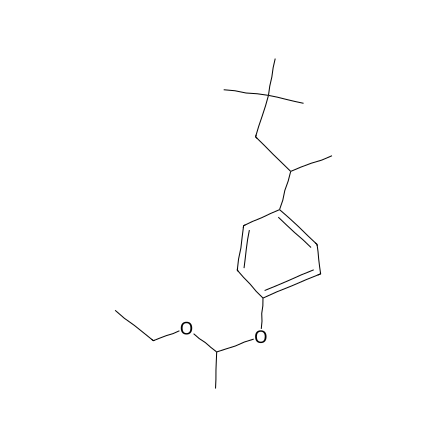 CCOC(C)Oc1ccc(C(C)CC(C)(C)C)cc1